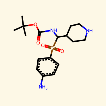 CC(C)(C)OC(=O)NC(C1CCNCC1)S(=O)(=O)c1ccc(N)cc1